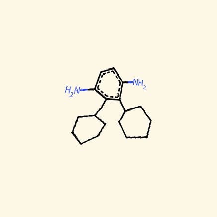 Nc1ccc(N)c(C2CCCCC2)c1C1CCCCC1